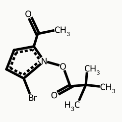 CC(=O)c1ccc(Br)n1OC(=O)C(C)(C)C